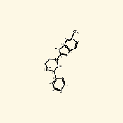 FC(F)(F)c1ccc2nc(N3CCNC(c4ccccc4)C3)sc2c1